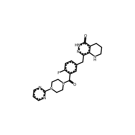 O=C(c1cc(Cc2n[nH]c(=O)c3c2NCCC3)ccc1F)N1CCN(c2ncccn2)CC1